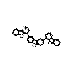 c1ccc2c(c1)oc1c(-c3ccc4oc5ccc(-c6ccnc7c6oc6ccccc67)cc5c4c3)ccnc12